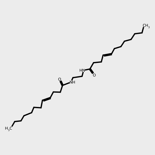 CCCCCCCC=CCCC(=O)NCCNC(=O)CCC=CCCCCCCC